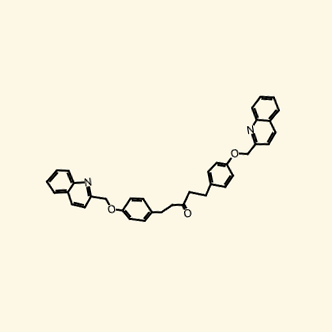 O=C(CCc1ccc(OCc2ccc3ccccc3n2)cc1)CCc1ccc(OCc2ccc3ccccc3n2)cc1